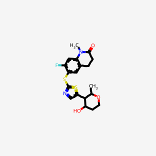 CC1OCCC(O)C1c1cnc(Sc2cc3c(cc2F)N(C)C(=O)CC3)s1